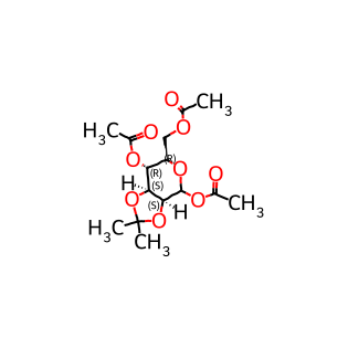 CC(=O)OC[C@H]1OC(OC(C)=O)[C@H]2OC(C)(C)O[C@H]2[C@@H]1OC(C)=O